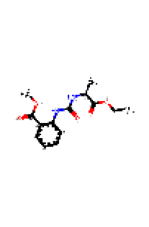 CCOC(=O)[C@H](C)NC(=O)Nc1ccccc1C(=O)OC